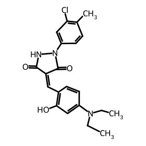 CCN(CC)c1ccc(C=C2C(=O)NN(c3ccc(C)c(Cl)c3)C2=O)c(O)c1